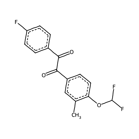 Cc1cc(C(=O)C(=O)c2ccc(F)cc2)ccc1OC(F)F